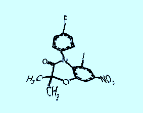 CC1(C)Oc2cc([N+](=O)[O-])cc(I)c2N(c2ccc(F)cc2)C1=O